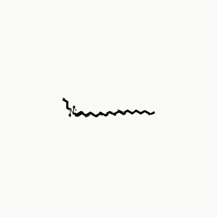 CCCCCCCCCCCCCCCCC=C[N+](C)(C)CCC